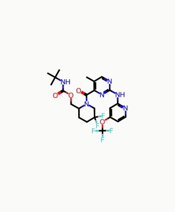 Cc1cnc(Nc2cc(OC(F)(F)F)ccn2)nc1C(=O)N1CC(F)(F)CCC1COC(=O)NC(C)(C)C